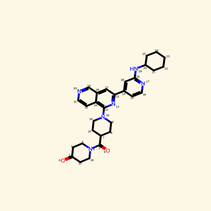 O=C1CCN(C(=O)C2CCN(c3nc(-c4ccnc(NC5CCCCC5)c4)cc4cnccc34)CC2)CC1